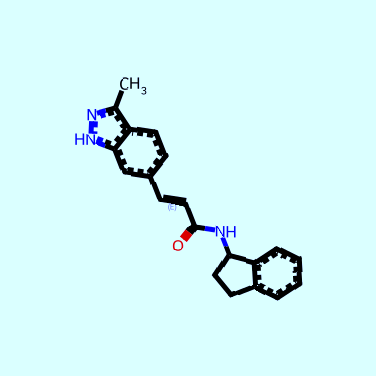 Cc1n[nH]c2cc(/C=C/C(=O)NC3CCc4ccccc43)ccc12